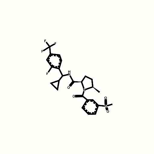 C[C@@H]1CC[C@H](C(=O)NC(c2ccc(C(F)(F)F)cc2F)C2CC2)N1C(=O)c1cccc(S(C)(=O)=O)c1